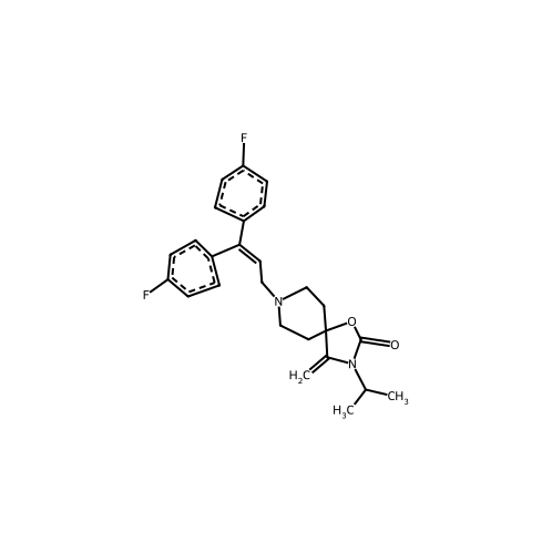 C=C1N(C(C)C)C(=O)OC12CCN(CC=C(c1ccc(F)cc1)c1ccc(F)cc1)CC2